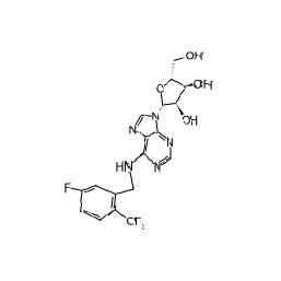 OC[C@H]1O[C@@H](n2cnc3c(NCc4cc(F)ccc4C(F)(F)F)ncnc32)[C@H](O)[C@@H]1O